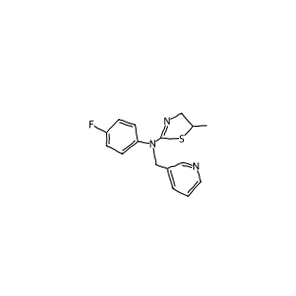 CC1CN=C(N(Cc2cccnc2)c2ccc(F)cc2)S1